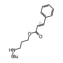 CC(C)(C)NCCCOC(=O)/C=C/c1ccccc1